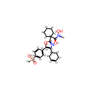 CN(O)C(=O)C1(c2nc(C3CC=CCC3)c(-c3ccc(S(C)(=O)=O)cc3)o2)CCCCC1